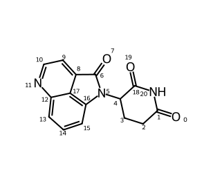 O=C1CCC(N2C(=O)c3ccnc4cccc2c34)C(=O)N1